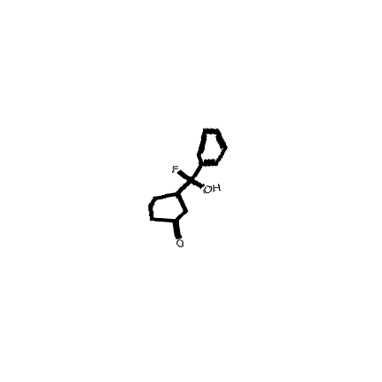 O=C1CCCC(C(O)(F)c2ccccc2)C1